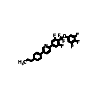 CCCC1CC=C(c2ccc(-c3cc(F)c(C(F)(F)Oc4cc(F)c(F)c(F)c4)c(F)c3)nc2)CC1